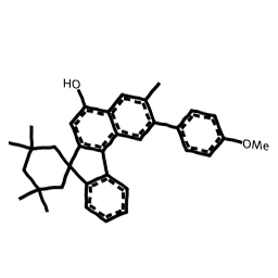 COc1ccc(-c2cc3c4c(cc(O)c3cc2C)C2(CC(C)(C)CC(C)(C)C2)c2ccccc2-4)cc1